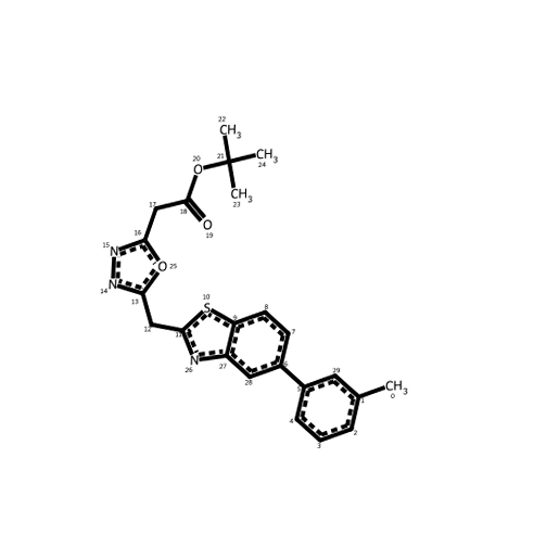 Cc1cccc(-c2ccc3sc(Cc4nnc(CC(=O)OC(C)(C)C)o4)nc3c2)c1